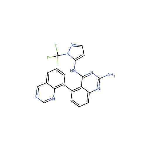 Nc1nc(Nc2ccnn2C(F)(F)F)c2c(-c3cccc4cncnc34)cccc2n1